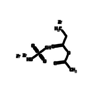 CCC(=O)OC(C)=O.O=S(=O)(O)O.[Zr].[Zr].[Zr]